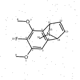 COc1cc2c(c(OC)c1F)C1C=CC2N1C